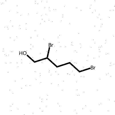 OCC(Br)CCCBr